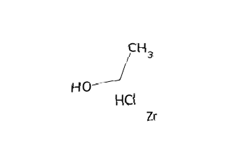 CCO.Cl.[Zr]